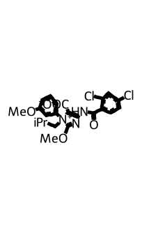 COC1=NC(NC(=O)c2ccc(Cl)cc2Cl)=C(C(=O)[O-])[N+]1(CC(C)C)c1cccc(OC)c1